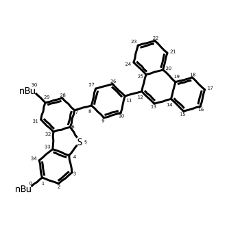 CCCCc1ccc2sc3c(-c4ccc(-c5cc6ccccc6c6ccccc56)cc4)cc(CCCC)cc3c2c1